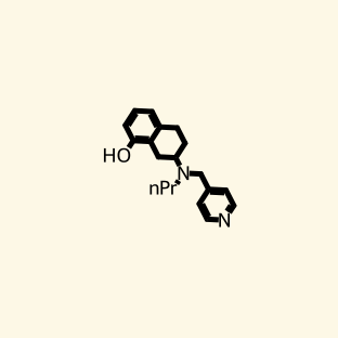 CCCN(Cc1ccncc1)C1CCc2cccc(O)c2C1